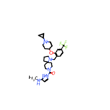 CNc1ccn(C(=O)N2CCC3(CCCN3Cc3ccc(C(F)(F)F)cc3OC3CCN(C4CC4)CC3)CC2)n1